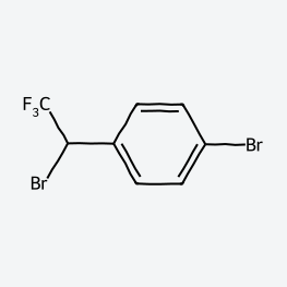 FC(F)(F)C(Br)c1ccc(Br)cc1